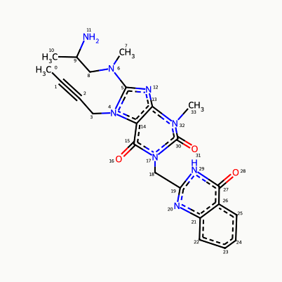 CC#CCn1c(N(C)CC(C)N)nc2c1c(=O)n(Cc1nc3ccccc3c(=O)[nH]1)c(=O)n2C